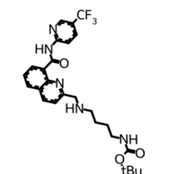 CC(C)(C)OC(=O)NCCCCNCc1ccc2cccc(C(=O)Nc3ccc(C(F)(F)F)cn3)c2n1